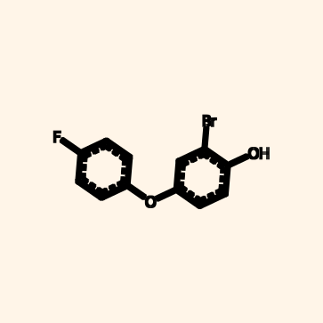 Oc1ccc(Oc2ccc(F)cc2)cc1Br